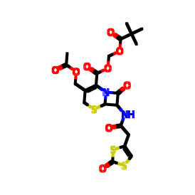 CC(=O)OCC1=C(C(=O)OCOC(=O)C(C)(C)C)N2C(=O)C(NC(=O)Cc3csc(=O)s3)C2SC1